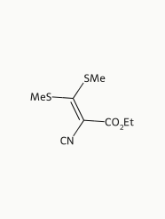 [C-]#[N+]C(C(=O)OCC)=C(SC)SC